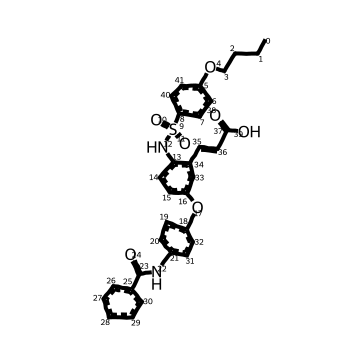 CCCCOc1ccc(S(=O)(=O)Nc2ccc(Oc3ccc(NC(=O)c4ccccc4)cc3)cc2/C=C/C(=O)O)cc1